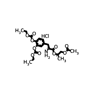 CCOC(=O)Oc1ccc(C[C@H](N)C(=O)O[C@H](C)COC(C)=O)cc1OC(=O)OCC.Cl